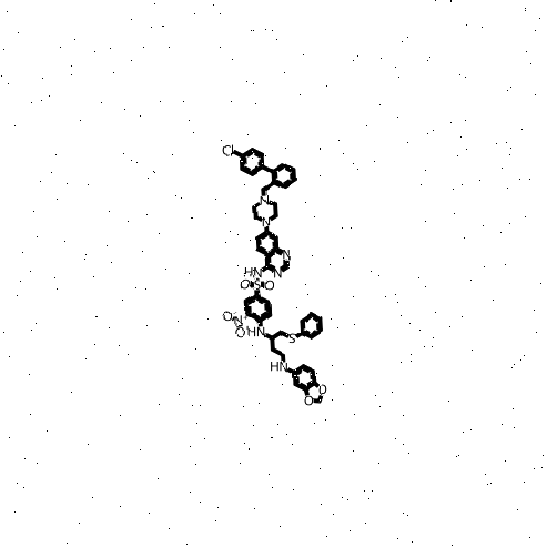 O=[N+]([O-])c1cc(S(=O)(=O)Nc2ncnc3cc(N4CCN(Cc5ccccc5-c5ccc(Cl)cc5)CC4)ccc23)ccc1NC(CCNc1ccc2c(c1)OCO2)CSc1ccccc1